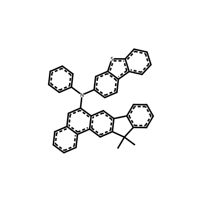 CC1(C)c2ccccc2-c2cc3c(N(c4ccccc4)c4ccc5c(c4)sc4ccccc45)cc4ccccc4c3cc21